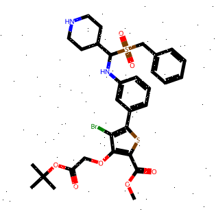 COC(=O)c1sc(-c2cccc(NC(C3CCNCC3)S(=O)(=O)Cc3ccccc3)c2)c(Br)c1OCC(=O)OC(C)(C)C